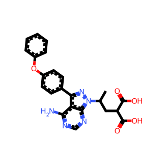 CC(CC(C(=O)O)C(=O)O)n1nc(-c2ccc(Oc3ccccc3)cc2)c2c(N)ncnc21